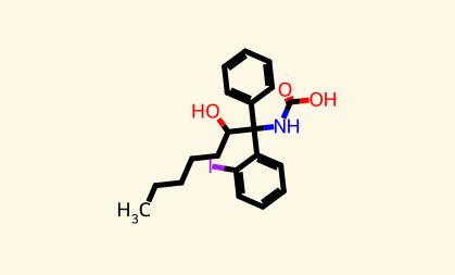 CCCCCC(O)C(NC(=O)O)(c1ccccc1)c1ccccc1I